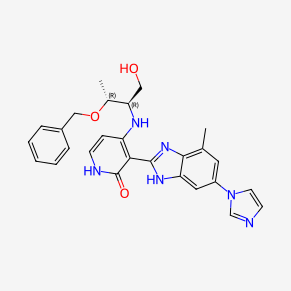 Cc1cc(-n2ccnc2)cc2[nH]c(-c3c(N[C@H](CO)[C@@H](C)OCc4ccccc4)cc[nH]c3=O)nc12